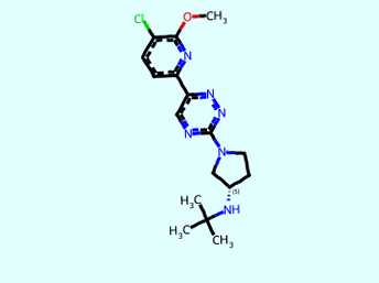 COc1nc(-c2cnc(N3CC[C@H](NC(C)(C)C)C3)nn2)ccc1Cl